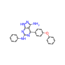 Nc1n[nH]c2nc(Nc3ccccc3)nc(-c3ccc(Oc4ccccc4)cc3)c12